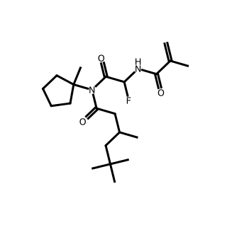 C=C(C)C(=O)NC(F)C(=O)N(C(=O)CC(C)CC(C)(C)C)C1(C)CCCC1